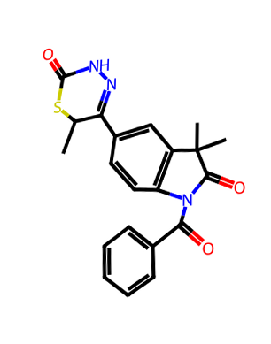 CC1SC(=O)NN=C1c1ccc2c(c1)C(C)(C)C(=O)N2C(=O)c1ccccc1